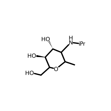 CC(C)NC1C(C)OC(CO)[C@@H](O)[C@@H]1O